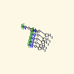 CCCCCCCc1ccc(-c2ccc(C(F)(F)F)nc2)cc1.CCCCCCc1ccc(-c2ccc(C(F)(F)F)nc2)cc1.CCCCCc1ccc(-c2ccc(C(F)(F)F)nc2)cc1.CCCCc1ccc(-c2ccc(C(F)(F)F)nc2)cc1.CCCc1ccc(-c2ccc(C(F)(F)F)nc2)cc1.CCc1ccc(-c2ccc(C(F)(F)F)nc2)cc1